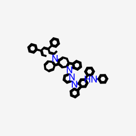 C\C=C(/C=C(\C=C(/C)n1c2c(c3c1=CCc1c(n(-c4cccc(-n5c6ccccc6c6ccc(-c7ccccc7Nc7ccccc7)cc65)n4)c4ccccc14)C=3)C=CCC=C2)c1ccccc1)c1ccccc1